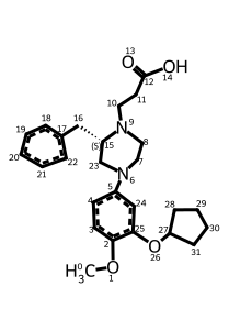 COc1ccc(N2CCN(CCC(=O)O)[C@@H](Cc3ccccc3)C2)cc1OC1CCCC1